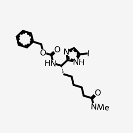 CNC(=O)CCCCC[C@H](NC(=O)OCc1ccccc1)c1ncc(I)[nH]1